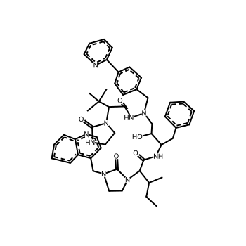 CCC(C)C(C(=O)NC(Cc1ccccc1)C(O)CN(Cc1ccc(-c2ccccn2)cc1)NC(=O)C(N1CCNC1=O)C(C)(C)C)N1CCN(Cc2ccnc3ccccc23)C1=O